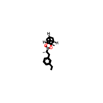 CCc1cccc(C[C@H](C)B2O[C@@H]3C[C@@H]4C[C@@H](C4(C)C)[C@]3(C)O2)c1